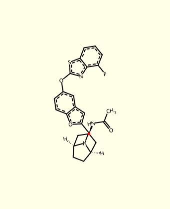 CC(=O)N[C@H]1C[C@H]2CC[C@@H](C1)N2Cc1cc2cc(Oc3nc4c(F)cccc4s3)ccc2o1